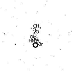 CCOC(=O)COC(=O)C(=O)Nc1ccccc(Br)c1=O